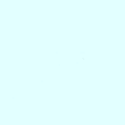 CCCCCCc1ccc(C2(c3ccc(CCCCCC)cc3)c3cc(N(c4ccccc4)c4ccccc4)ccc3-c3c2c2c(c4ccccc34)OC(c3ccccc3)(c3ccc(C=O)cc3)C=C2)cc1